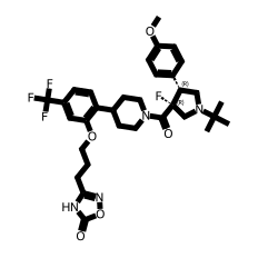 COc1ccc([C@@H]2CN(C(C)(C)C)C[C@@]2(F)C(=O)N2CCC(c3ccc(C(F)(F)F)cc3OCCCc3noc(=O)[nH]3)CC2)cc1